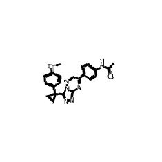 COc1ccc(C2(c3nnc4nc(-c5ccc(NC(C)=O)cc5)cnn34)CC2)cc1